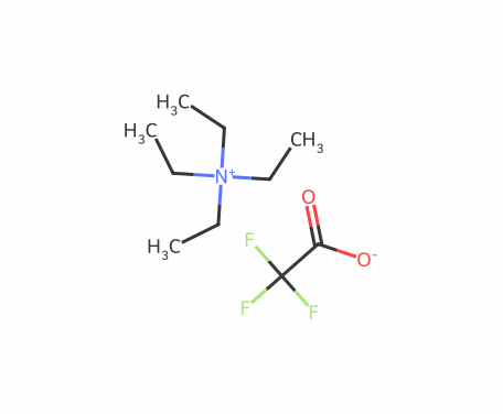 CC[N+](CC)(CC)CC.O=C([O-])C(F)(F)F